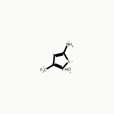 Cl.Nc1cc(C(F)(F)F)cs1